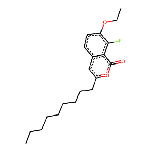 CCCCCCCCCc1cc2ccc(OCC)c(F)c2c(=O)o1